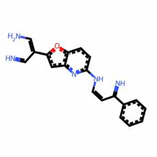 N=C/C(=C\N)c1cc2nc(N/C=C\C(=N)c3ccccc3)ccc2o1